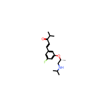 CC(C)NC[C@@H](C)Oc1cc(F)cc(/C=C/C(=O)C(C)C)c1